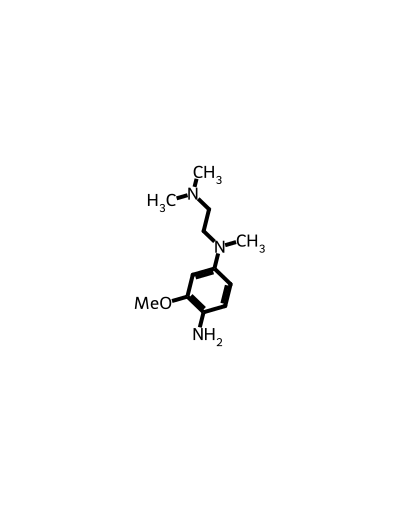 COc1cc(N(C)CCN(C)C)ccc1N